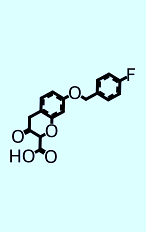 O=C(O)C1Oc2cc(OCc3ccc(F)cc3)ccc2CC1=O